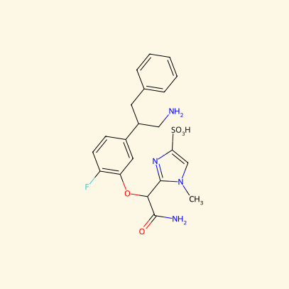 Cn1cc(S(=O)(=O)O)nc1C(Oc1cc(C(CN)Cc2ccccc2)ccc1F)C(N)=O